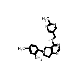 Cc1ccc(N2CCc3ncnc(NCc4cnc(C)nc4)c3C2)c(N)c1